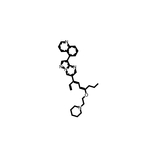 C=C/C(=C\C=C(/CCC)OCCN1CCCCC1)c1cnc2c(-c3cccc4ncccc34)cnn2c1